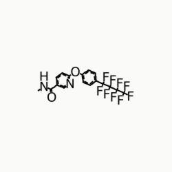 CNC(=O)c1ccc(Oc2ccc(C(F)(F)C(F)(F)C(F)(F)C(F)(F)F)cc2)nc1